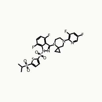 CC(C)S(=O)(=O)c1ccc(S(=O)(=O)n2nc(N3CCN(c4ncc(F)cc4F)CC34CC4)c3c(F)ccc(F)c32)s1